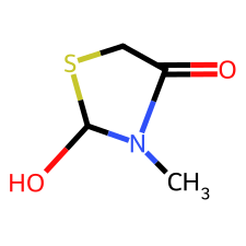 CN1C(=O)CSC1O